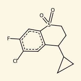 O=S1(=O)CCC(C2CC2)c2cc(Cl)c(F)cc21